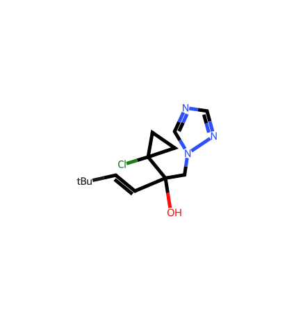 CC(C)(C)C=CC(O)(Cn1cncn1)C1(Cl)CC1